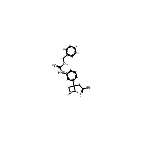 CCC(=O)CC1(c2cccc(NC(=O)OCc3ccccc3)c2)COC1